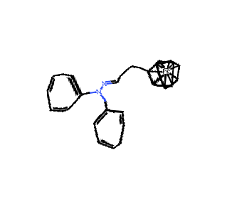 C(C[C]12[CH]3[CH]4[CH]5[CH]1[Fe]45321678[CH]2[CH]1[CH]6[CH]7[CH]28)=NN(c1ccccc1)c1ccccc1